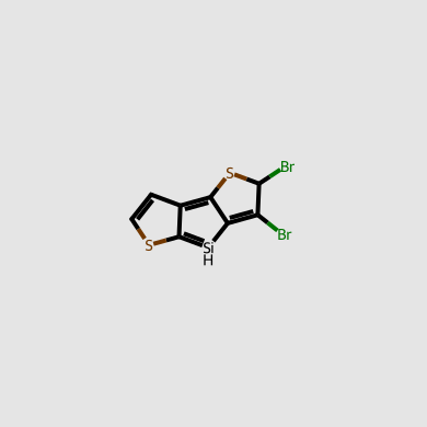 BrC1=C2[SiH]=c3sccc3=C2SC1Br